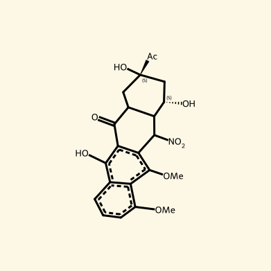 COc1cccc2c(O)c3c(c(OC)c12)C([N+](=O)[O-])C1C(C[C@@](O)(C(C)=O)C[C@@H]1O)C3=O